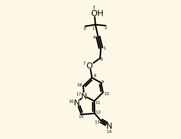 CC(C)(O)C#CCOc1ccc2c(C#N)cnn2c1